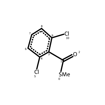 CSC(=O)c1c(Cl)cccc1Cl